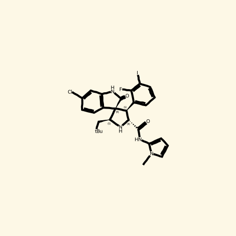 Cn1cccc1NC(=O)[C@@H]1N[C@@H](CC(C)(C)C)[C@@]2(C(=O)Nc3cc(Cl)ccc32)[C@H]1c1cccc(I)c1F